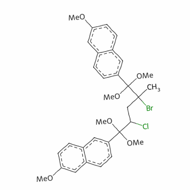 COc1ccc2cc(C(OC)(OC)C(Cl)CC(C)(Br)C(OC)(OC)c3ccc4cc(OC)ccc4c3)ccc2c1